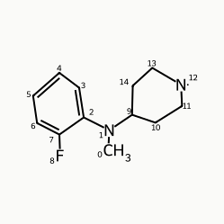 CN(c1ccccc1F)C1CC[N]CC1